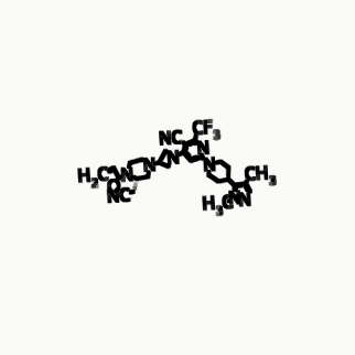 C=CC(=O)N1CCN(C2CN(c3cc(N4CCC(c5c(C)cnn5C)CC4)nc(C(F)(F)F)c3C#N)C2)C[C@@H]1CC#N